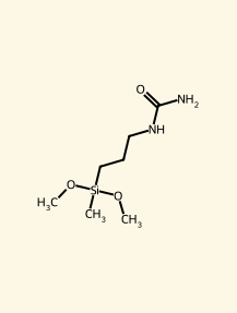 CO[Si](C)(CCCNC(N)=O)OC